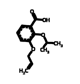 C=CCOc1cccc(C(=O)O)c1OC(C)C